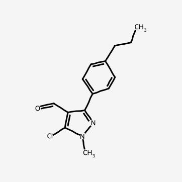 CCCc1ccc(-c2nn(C)c(Cl)c2C=O)cc1